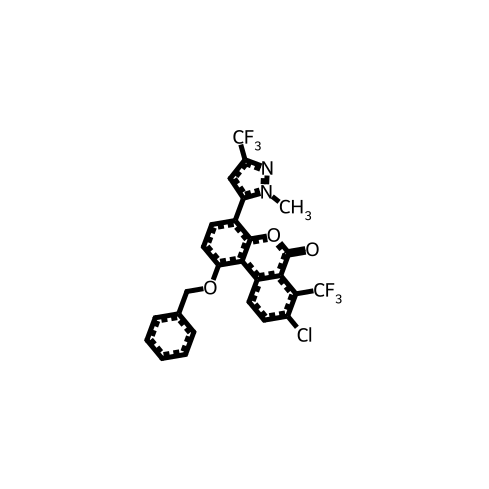 Cn1nc(C(F)(F)F)cc1-c1ccc(OCc2ccccc2)c2c1oc(=O)c1c(C(F)(F)F)c(Cl)ccc12